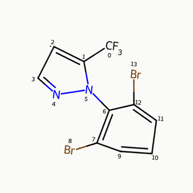 FC(F)(F)c1[c]cnn1-c1c(Br)cccc1Br